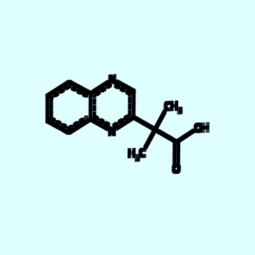 CC(C)(C(=O)O)c1cnc2ccccc2n1